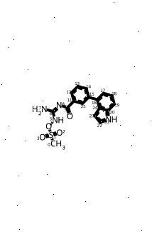 CS(=O)(=O)ONC(N)=NC(=O)c1cccc(-c2cccc3[nH]ccc23)c1